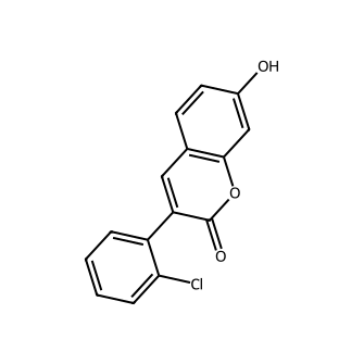 O=c1oc2cc(O)ccc2cc1-c1ccccc1Cl